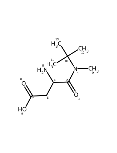 CN(C(=O)C(N)CC(=O)O)C(C)(C)C